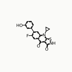 O=c1[nH]sc2c1c(=O)c1cc(F)c(-c3cccc(O)c3)cc1n2C1CC1